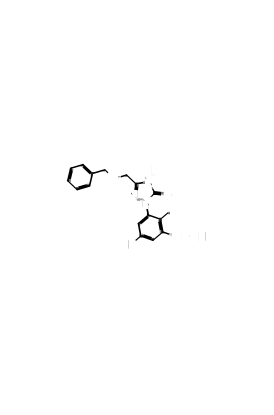 CCn1c(COCc2ccccc2)nn(-c2cc(F)cc(C(=O)O)c2I)c1=O